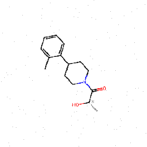 [CH2]c1ccccc1C1CCN(C(=O)[C@H](C)O)CC1